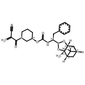 C=C(C#N)C(=O)N1CCC[C@@H](OC(=O)N[C@@H](Cc2ccccc2)B2O[C@@H]3C[C@@H]4C[C@@H](C4(C)C)[C@]3(C)O2)C1